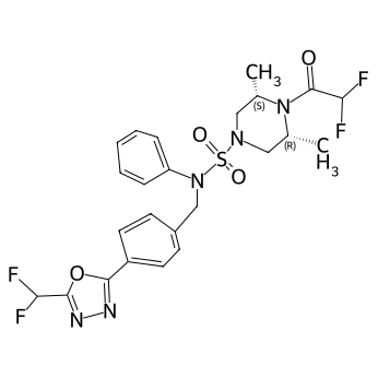 C[C@@H]1CN(S(=O)(=O)N(Cc2ccc(-c3nnc(C(F)F)o3)cc2)c2ccccc2)C[C@H](C)N1C(=O)C(F)F